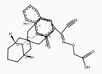 N#C/C(=N\OCC(=O)O)c1nc2ccccc2n([C@H]2C[C@H]3CCC[C@@H](C2)N3[C@H]2C[C@@H]3CCC[C@@H](C3)C2)c1=O